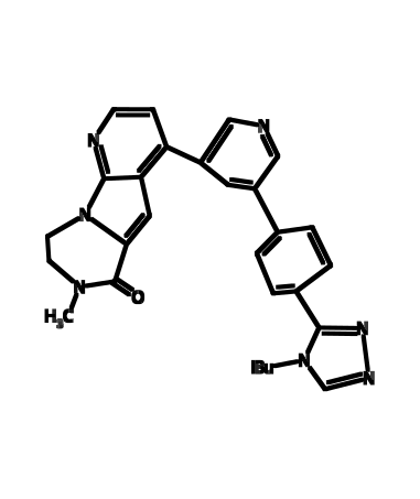 CCC(C)n1cnnc1-c1ccc(-c2cncc(-c3ccnc4c3cc3n4CCN(C)C3=O)c2)cc1